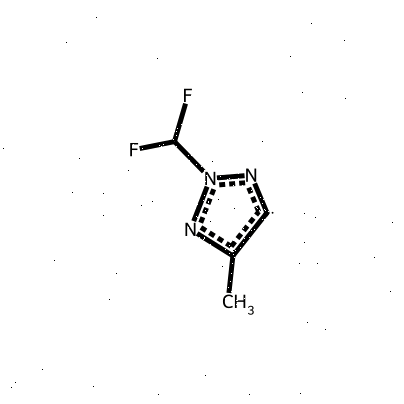 Cc1[c]nn(C(F)F)n1